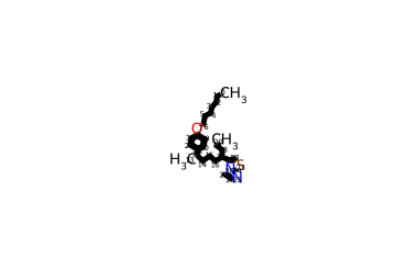 CCCCCCCOc1ccc(C(C)CCCC(CCC)c2csc3nccn23)cc1